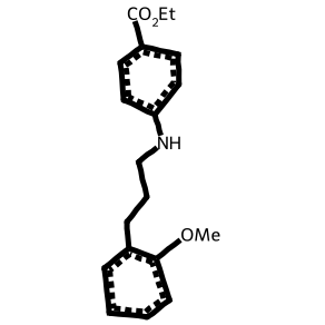 CCOC(=O)c1ccc(NCCCc2ccccc2OC)cc1